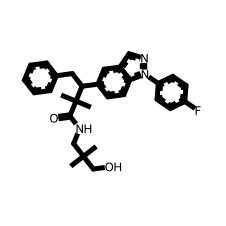 CC(C)(CO)CNC(=O)C(C)(C)C(Cc1ccccc1)c1ccc2c(cnn2-c2ccc(F)cc2)c1